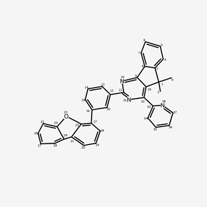 CC1(C)c2ccccc2-c2nc(-c3cccc(-c4cccc5c4oc4ccccc45)c3)nc(-c3ccccn3)c21